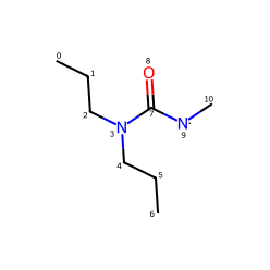 CCCN(CCC)C(=O)[N]C